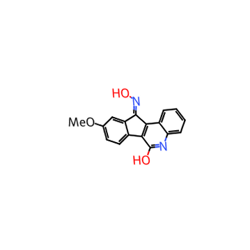 COc1ccc2c(c1)C(=NO)c1c-2c(O)nc2ccccc12